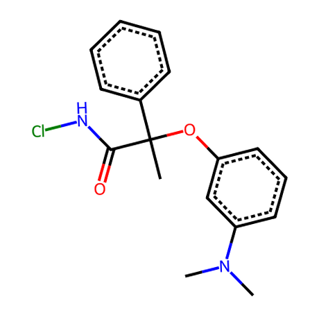 CN(C)c1cccc(OC(C)(C(=O)NCl)c2ccccc2)c1